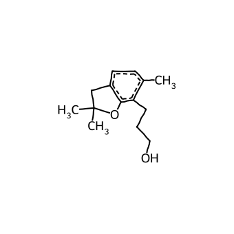 Cc1ccc2c(c1CCCO)OC(C)(C)C2